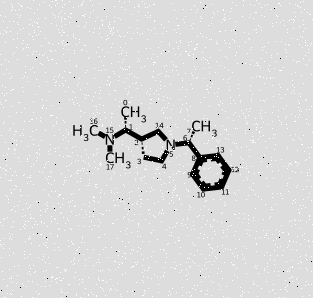 C[C@H]([C@H]1CCN([C@H](C)c2ccccc2)C1)N(C)C